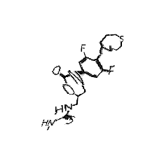 CNC(=S)NCC1CN(c2cc(F)c(N3CCCSCC3)c(F)c2)C(=O)O1